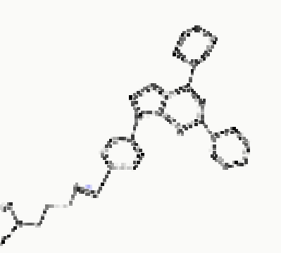 CN(C)CCC/N=C/c1ccc(-n2ccc3c(-c4ccccc4)nc(-c4ccccc4)nc32)cc1